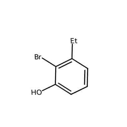 CCc1cccc(O)c1Br